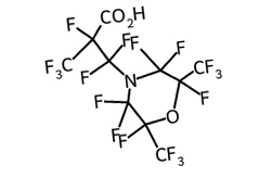 O=C(O)C(F)(C(F)(F)F)C(F)(F)N1C(F)(F)C(F)(C(F)(F)F)OC(F)(C(F)(F)F)C1(F)F